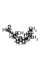 COc1nc(-c2cccc(-c3cccc(NC(=O)c4nc5c(n4C)CCN(C)C5)c3Cl)c2Cl)ccc1CNC1CNC(=O)C1